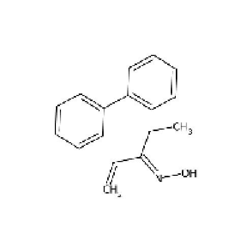 C=CC(CC)=NO.c1ccc(-c2ccccc2)cc1